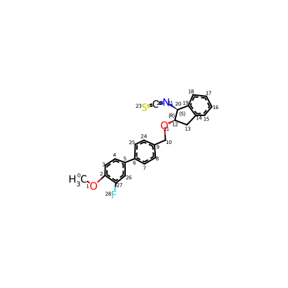 COc1ccc(-c2ccc(CO[C@@H]3Cc4ccccc4[C@@H]3N=C=S)cc2)cc1F